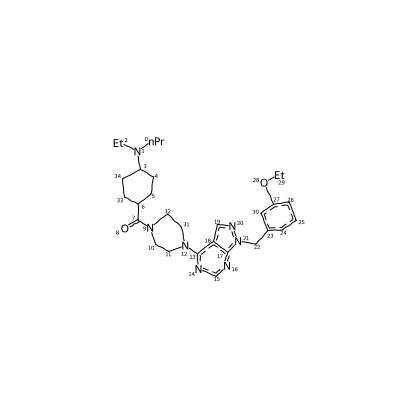 CCCN(CC)C1CCC(C(=O)N2CCN(c3ncnc4c3cnn4Cc3cccc(OCC)c3)CC2)CC1